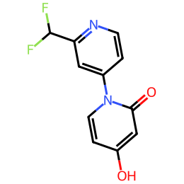 O=c1cc(O)ccn1-c1ccnc(C(F)F)c1